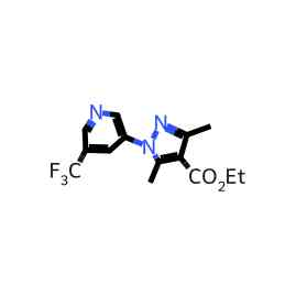 CCOC(=O)c1c(C)nn(-c2cncc(C(F)(F)F)c2)c1C